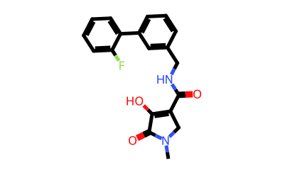 CN1CC(C(=O)NCc2cccc(-c3ccccc3F)c2)=C(O)C1=O